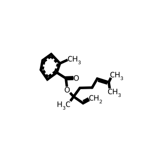 C=CC(C)(CCC=C(C)C)OC(=O)c1ccccc1C